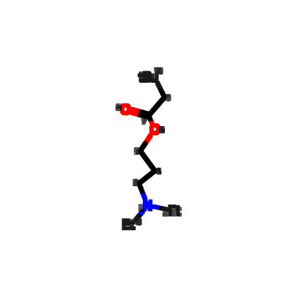 CCN(CC)CCCOC(=O)CC(C)(C)C